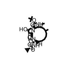 CC[C@@H]1CC(C)CCCC[C@@H]2C[C@@]2(C(=O)NS(=O)(=O)C2CC2)NC(=O)[C@@H]2C[C@@H](O)CN2C(=O)[C@H]1NC(=O)OC(C)(C)C